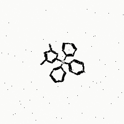 Cc1cc(C)cc([Si](c2ccccc2)(c2ccccc2)c2ccccc2)c1